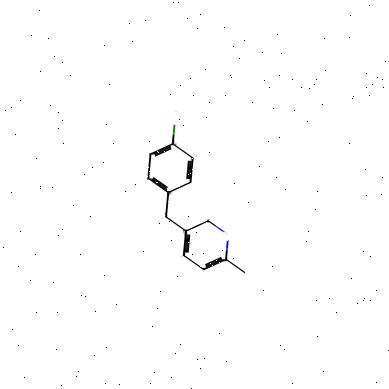 CC1=CC=C(Cc2ccc(F)cc2)CN1